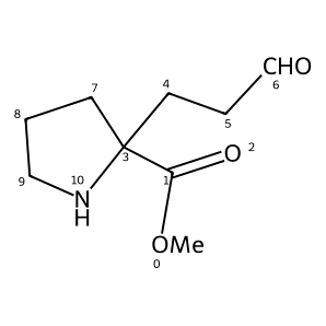 COC(=O)C1(CCC=O)CCCN1